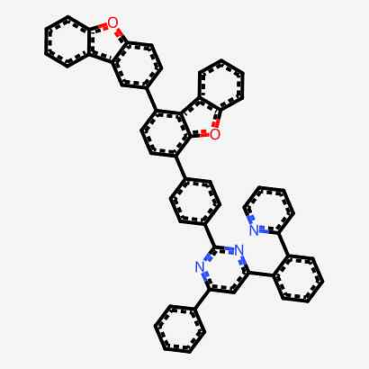 c1ccc(-c2cc(-c3ccccc3-c3ccccn3)nc(-c3ccc(-c4ccc(-c5ccc6oc7ccccc7c6c5)c5c4oc4ccccc45)cc3)n2)cc1